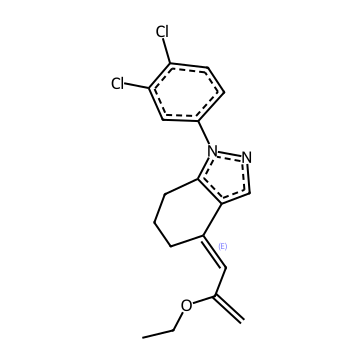 C=C(/C=C1\CCCc2c1cnn2-c1ccc(Cl)c(Cl)c1)OCC